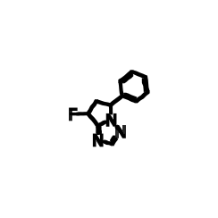 FC1CC(c2ccccc2)n2ncnc21